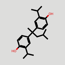 CC(C)CC(C)(c1ccc(O)c(C(C)C)c1)c1ccc(O)c(C(C)C)c1